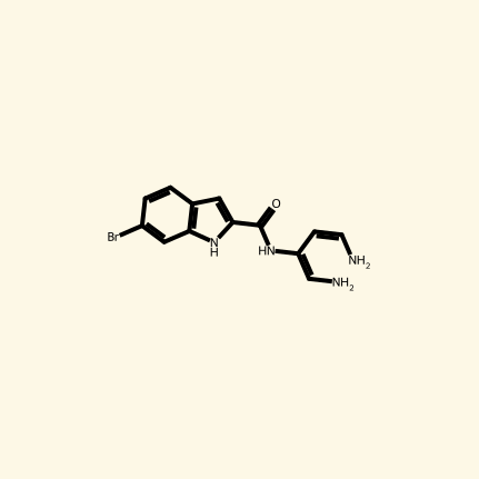 N/C=C\C(=C/N)NC(=O)c1cc2ccc(Br)cc2[nH]1